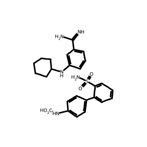 N=C(N)c1cccc(NC2CCCCC2)c1.NS(=O)(=O)c1ccccc1-c1ccc(NC(=O)O)cc1